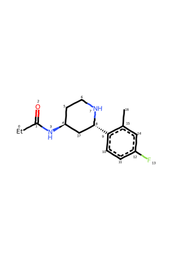 CCC(=O)N[C@H]1CCN[C@H](c2ccc(F)cc2C)C1